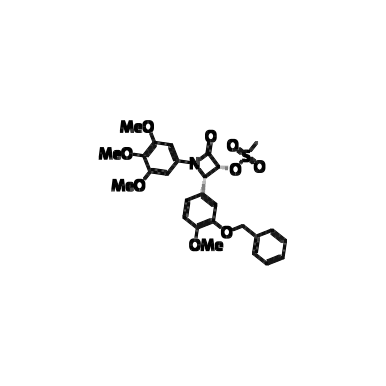 COc1ccc([C@H]2[C@@H](OS(C)(=O)=O)C(=O)N2c2cc(OC)c(OC)c(OC)c2)cc1OCc1ccccc1